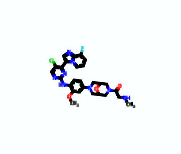 CNCC(=O)N1CC2CN(c3ccc(Nc4ncc(Cl)c(-c5cnc6c(F)cccn56)n4)c(OC)c3)CC(C1)O2